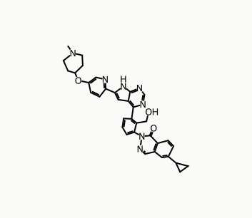 CN1CCC(Oc2ccc(-c3cc4c(-c5cccc(-n6ncc7cc(C8CC8)ccc7c6=O)c5CO)ncnc4[nH]3)nc2)CC1